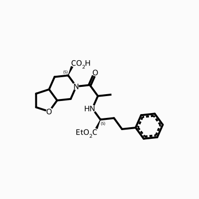 CCOC(=O)[C@H](CCc1ccccc1)NC(C)C(=O)N1CC2OCCC2C[C@H]1C(=O)O